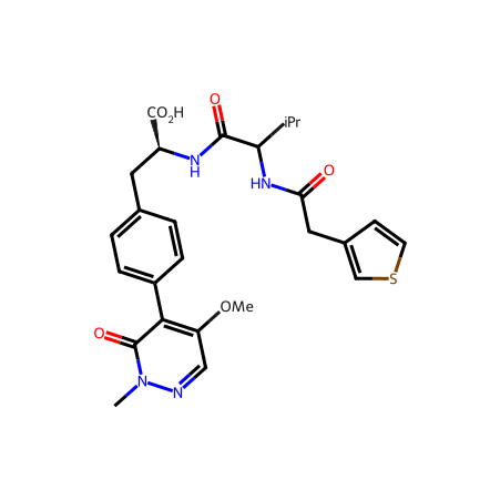 COc1cnn(C)c(=O)c1-c1ccc(C[C@H](NC(=O)C(NC(=O)Cc2ccsc2)C(C)C)C(=O)O)cc1